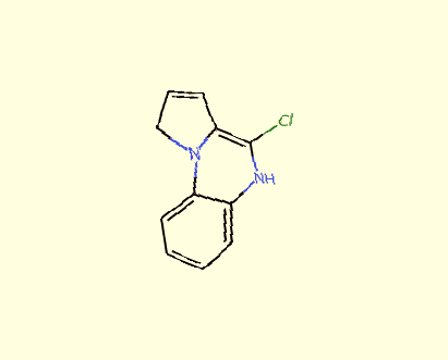 ClC1=C2C=CCN2c2ccccc2N1